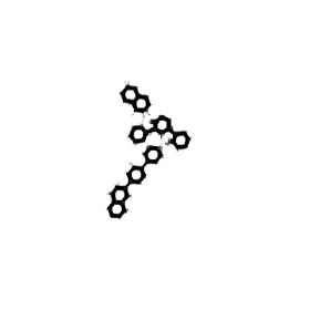 c1ccc2cc(-c3ccc(-c4ccc(-n5c6ccccc6c6ccc7c(c8ccccc8n7-c7ccc8ccccc8c7)c65)cc4)cc3)ccc2c1